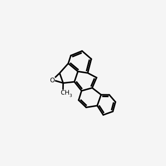 CC12OC1c1cccc3cc4c(ccc5ccccc54)c2c13